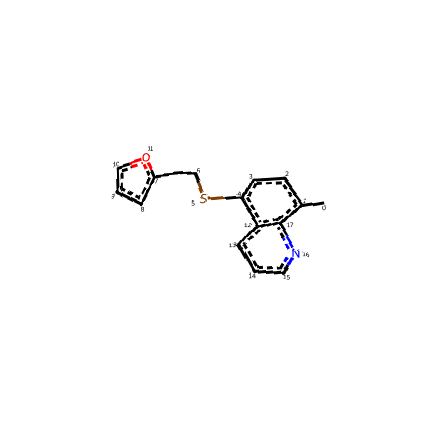 Cc1ccc(SCc2ccco2)c2cccnc12